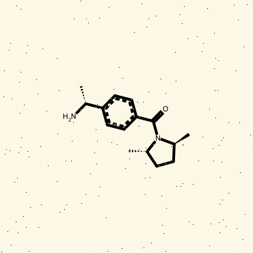 C[C@@H](N)c1ccc(C(=O)N2[C@@H](C)CC[C@@H]2C)cc1